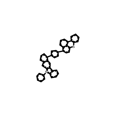 c1ccc(-n2c3ccccc3c3cc4c(-c5ccc(-c6ccc7c8c(cccc68)-c6ccccc6S7)cc5)cccc4cc32)cc1